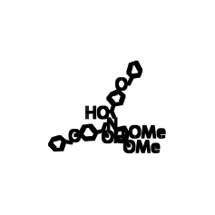 COc1ccc(N(CC(O)c2ccc(OCc3ccccc3)cc2)CC(O)c2ccc(OCc3ccccc3)cc2)cc1OC